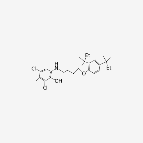 CCC(C)(C)c1ccc(OCCCCNc2cc(Cl)c(C)c(Cl)c2O)c(C(C)(C)CC)c1